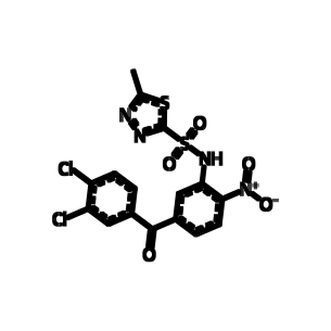 Cc1nnc(S(=O)(=O)Nc2cc(C(=O)c3ccc(Cl)c(Cl)c3)ccc2[N+](=O)[O-])s1